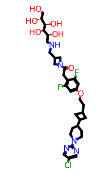 O=C(Cc1c(F)cc(OCCC2CC(C3CCN(c4ncc(Cl)cn4)CC3)C2)cc1F)N1CC(CNC[C@H](O)[C@@H](O)[C@H](O)[C@H](O)CO)C1